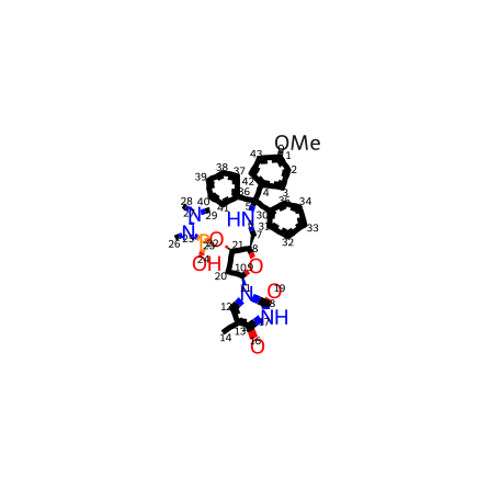 COc1ccc(C(NC[C@H]2O[C@@H](n3cc(C)c(=O)[nH]c3=O)C[C@@H]2OP(O)N(C)N(C)C)(c2ccccc2)c2ccccc2)cc1